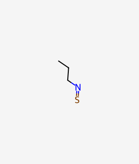 CCCN=S